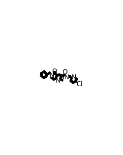 Cc1nc2ccn(Cc3ccccc3)c(=O)c2cc1C(=O)NCc1ccc(Cl)cn1